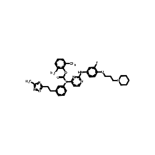 Cc1noc(CCc2cccc(N(C(=O)Oc3c(C)cccc3C)c3ccnc(Nc4ccc(OCCCN5CCCCC5)c(F)c4)n3)c2)n1